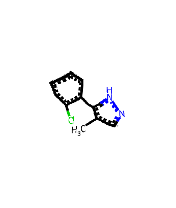 Cc1[c]n[nH]c1-c1ccccc1Cl